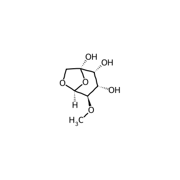 CO[C@H]1[C@H]2OC[C@](O)(O2)[C@H](O)[C@@H]1O